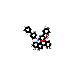 c1ccc(-c2ccc(N(c3ccc4oc5ccccc5c4c3)c3cccc4ccc5c6ccccc6ccc5c34)cc2)cc1